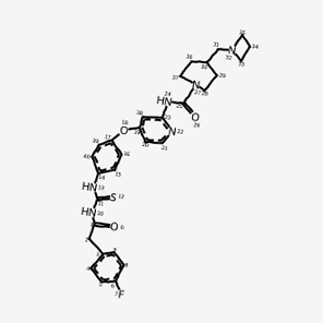 O=C(Cc1ccc(F)cc1)NC(=S)Nc1ccc(Oc2ccnc(NC(=O)N3CCC(CN4CCC4)CC3)c2)cc1